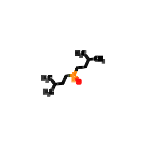 CC(C)CC[PH](=O)CCC(C)C